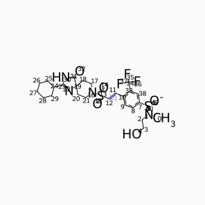 CN(CCO)[S@+]([O-])c1ccc(/C=C/S(=O)(=O)N2CCC3(CC2)N=C(C2CCCCC2)NC3=O)c(C(F)(F)F)c1